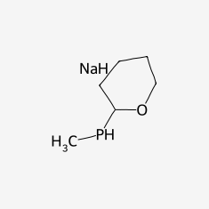 CPC1CCCCO1.[NaH]